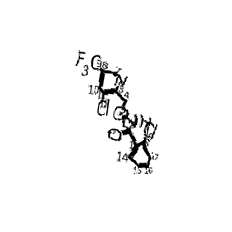 O=C(NOCc1ncc(C(F)(F)F)cc1Cl)c1ccccc1Cl